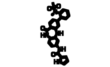 CN(c1ccccc1-c1ccc2c(c1)Nc1cc(NC(=O)c3ccc[nH]3)ccc1NC2=O)S(C)(=O)=O